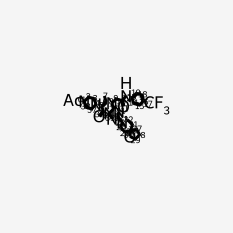 CC(=O)N1CCN(c2c(C)n(CC(=O)Nc3ccc(C(F)(F)F)cc3)c3nc(N4CCC5(CCCO5)CC4)nn3c2=O)CC1